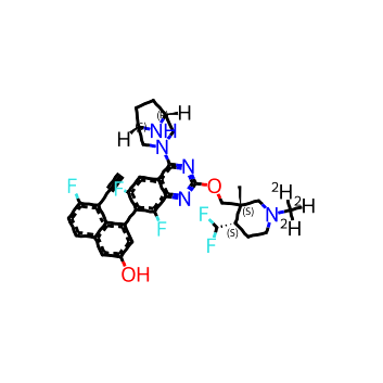 [2H]C([2H])([2H])N1CC[C@H](C(F)F)[C@](C)(COc2nc(N3C[C@H]4CC[C@@H](C3)N4)c3cc(F)c(-c4cc(O)cc5ccc(F)c(C#C)c45)c(F)c3n2)C1